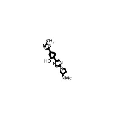 CNC1CCN(c2ncc(-c3ccc(-c4nnn(C)n4)cc3O)nn2)C1